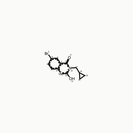 O=c1c2cc(Br)ccc2nc(O)n1CC1CC1